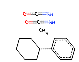 C.N=C=O.N=C=O.c1ccc(C2CCCCC2)cc1